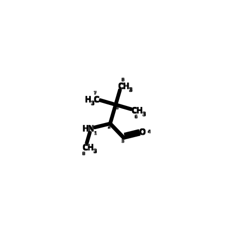 CNC(C=O)C(C)(C)C